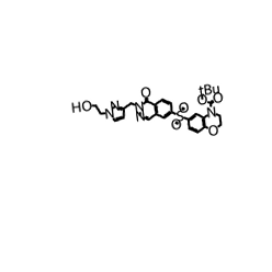 CC(C)(C)OC(=O)N1CCOc2ccc(S(=O)(=O)c3ccc4c(=O)n(Cc5ccn(CCO)n5)ncc4c3)cc21